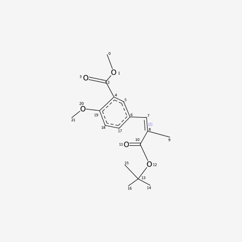 COC(=O)c1cc(/C=C(/C)C(=O)OC(C)(C)C)ccc1OC